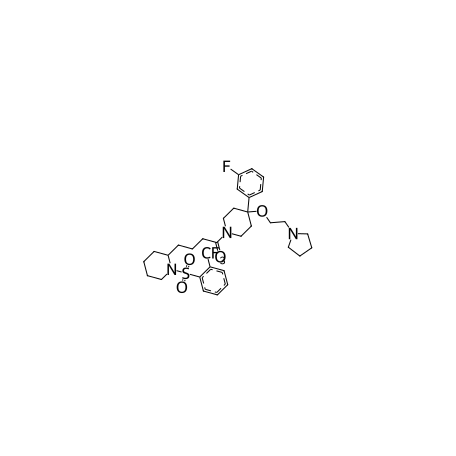 O=C(CCCC1CCCCN1S(=O)(=O)c1ccccc1C(F)(F)F)N1CCC(OCCN2CCCC2)(c2cccc(F)c2)CC1